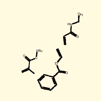 C=C(C)C(=O)OCCCC.C=CC(=O)NCO.C=COC(=O)c1ccccc1